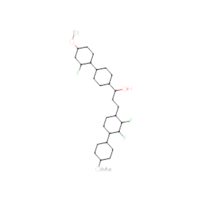 CCOC1CCC(C2CCC(C(O)CCC3CCC(C4CCC(OC)CC4)C(F)C3F)CC2)C(F)C1